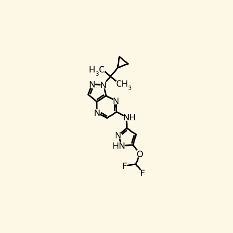 CC(C)(C1CC1)n1ncc2ncc(Nc3cc(OC(F)F)[nH]n3)nc21